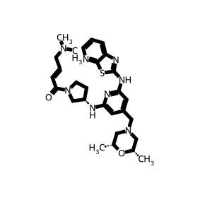 C[C@@H]1CN(Cc2cc(Nc3nc4cccnc4s3)nc(N[C@H]3CCN(C(=O)/C=C/CN(C)C)C3)c2)C[C@H](C)O1